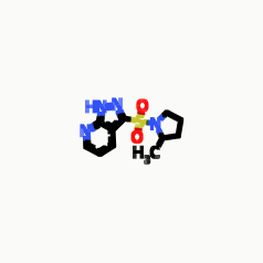 CC1CCCN1S(=O)(=O)c1n[nH]c2ncccc12